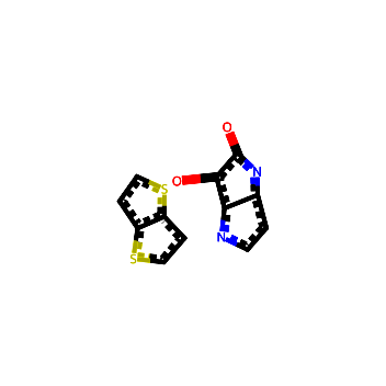 O=c1nc2ccnc-2c1=O.c1cc2sccc2s1